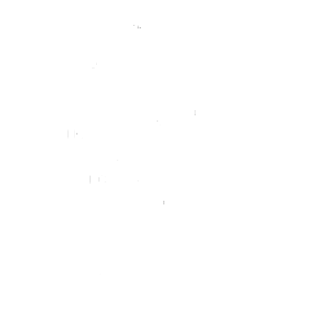 CC(C)=CCC1C(=O)C(C(=O)CC(C)C)=C(O)[C@]1(O)[C@H](O)CC=C(C)C